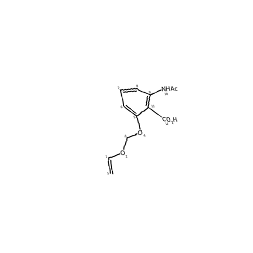 C=COCOc1cccc(NC(C)=O)c1C(=O)O